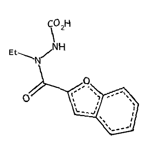 CCN(NC(=O)O)C(=O)c1cc2ccccc2o1